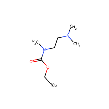 CN(C)CCN(C)C(=O)OCC(C)(C)C